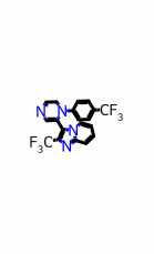 FC(F)(F)c1ccc(N2CC=NC=C2c2c(C(F)(F)F)nc3ccccn23)cc1